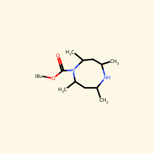 CC1CC(C)N(C(=O)OC(C)(C)C)C(C)CC(C)N1